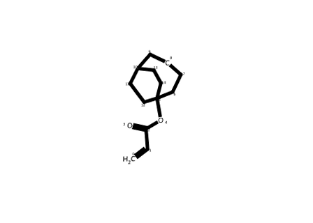 C=CC(=O)OC12CCCCC(CC1)CC2